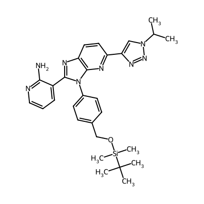 CC(C)n1cc(-c2ccc3nc(-c4cccnc4N)n(-c4ccc(CO[Si](C)(C)C(C)(C)C)cc4)c3n2)nn1